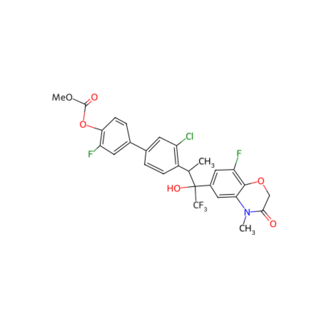 COC(=O)Oc1ccc(-c2ccc(C(C)C(O)(c3cc(F)c4c(c3)N(C)C(=O)CO4)C(F)(F)F)c(Cl)c2)cc1F